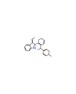 C/C=C1\C(C2=C(C(C)C3=CCC(C)C=C3)C=CCC2)=Nc2ccccc21